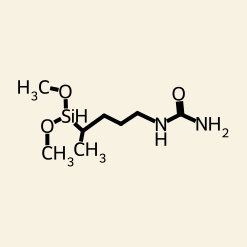 CO[SiH](OC)C(C)CCCNC(N)=O